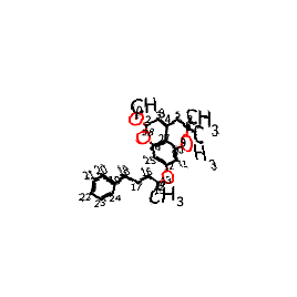 COC1CC2CC(C)(C)Oc3cc(OC(C)CCCc4ccccc4)cc(c32)O1